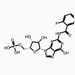 O=C(Nc1nc(O)c2ncn([C@@H]3O[C@H](COP(=O)(O)O)[C@H](O)[C@H]3O)c2n1)c1ccccc1F